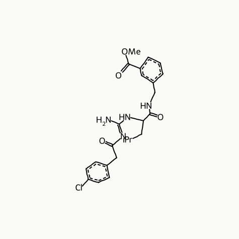 COC(=O)c1cccc(CNC(=O)C(CC(C)C)NC(N)=NC(=O)Cc2ccc(Cl)cc2)c1